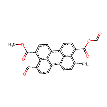 COC(=O)c1ccc2c3ccc(C(=O)OC=O)c4c(C)ccc(c5ccc(C=O)c1c52)c43